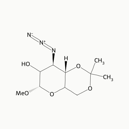 CO[C@H]1OC2COC(C)(C)O[C@H]2[C@H](N=[N+]=[N-])C1O